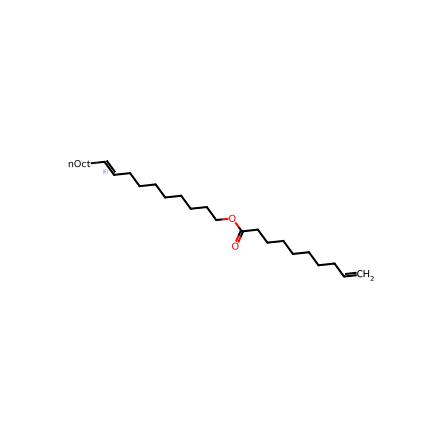 C=CCCCCCCCC(=O)OCCCCCCCC/C=C/CCCCCCCC